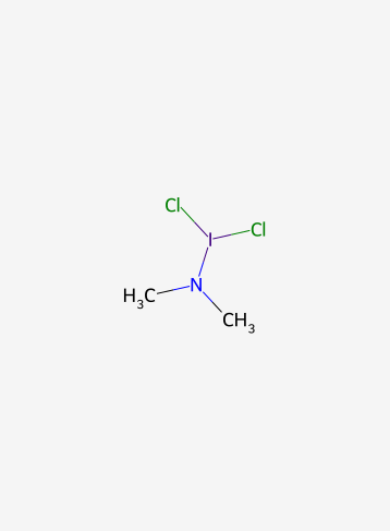 CN(C)I(Cl)Cl